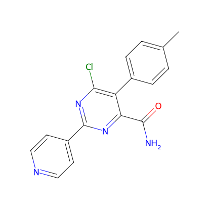 Cc1ccc(-c2c(Cl)nc(-c3ccncc3)nc2C(N)=O)cc1